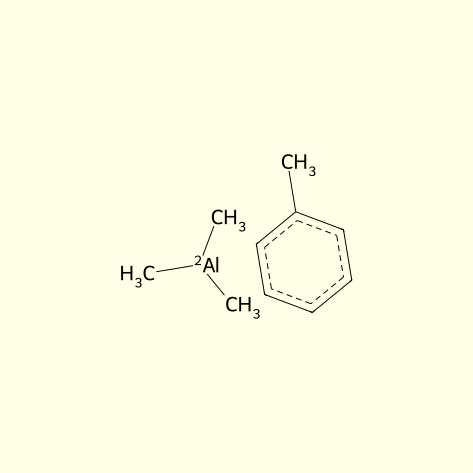 Cc1ccccc1.[CH3][2Al]([CH3])[CH3]